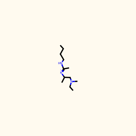 CCCCN/C(C)=N/C(C)CN(C)CC